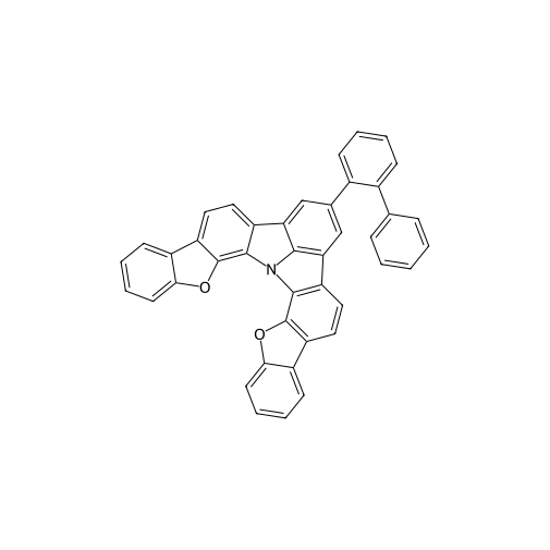 c1ccc(-c2ccccc2-c2cc3c4ccc5c6ccccc6oc5c4n4c3c(c2)c2ccc3c5ccccc5oc3c24)cc1